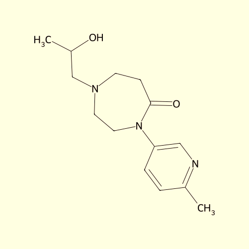 Cc1ccc(N2CCN(CC(C)O)CCC2=O)cn1